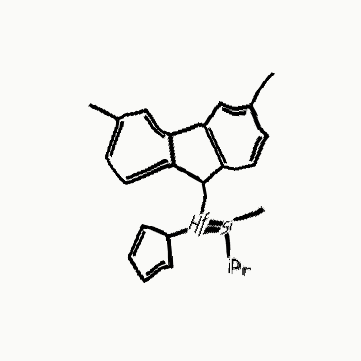 Cc1ccc2c(c1)-c1cc(C)ccc1[CH]2[Hf]([CH]1C=CC=C1)=[Si](C)C(C)C